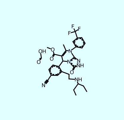 CCC(CC)NCCc1cc(C#N)ccc1C1C(C(=O)OC)=C(C)N(c2cccc(C(F)(F)F)c2)c2n[nH]c(=O)n21.O=CO